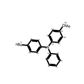 CCCCc1ccc(N(c2ccccc2)c2ccc(OC)cc2)cc1